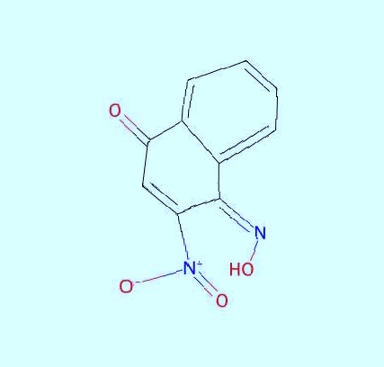 O=C1C=C([N+](=O)[O-])C(=NO)c2ccccc21